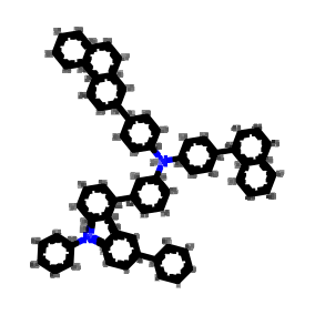 c1ccc(-c2ccc3c(c2)c2c(-c4cccc(N(c5ccc(-c6ccc7c(ccc8ccccc87)c6)cc5)c5ccc(-c6cccc7ccccc67)cc5)c4)cccc2n3-c2ccccc2)cc1